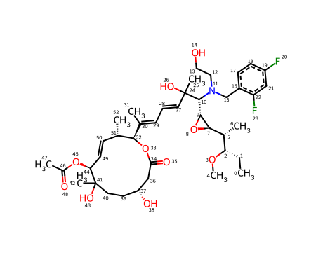 CC[C@H](OC)[C@@H](C)[C@H]1O[C@@H]1C(N(CCO)Cc1ccc(F)cc1F)C(C)(O)/C=C/C=C(\C)[C@H]1OC(=O)C[C@H](O)CCC(C)(O)[C@@H](OC(C)=O)/C=C/[C@@H]1C